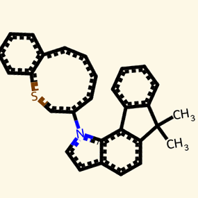 CC1(C)c2ccccc2-c2c1ccc1ccn(-c3ccccc4ccccc4sc3)c21